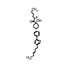 CC/C=C/CCc1ccc(-c2ccc([C@H]3CC[C@@](O)(C(=O)[C@@H](F)CCCC)CC3)cc2)nc1